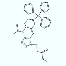 COC(=O)CCn1nncc1/C=C1/CN(C(c2ccccc2)(c2ccccc2)c2ccccc2)CCC1SC(C)=O